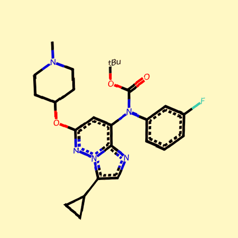 CN1CCC(Oc2cc(N(C(=O)OC(C)(C)C)c3cccc(F)c3)c3ncc(C4CC4)n3n2)CC1